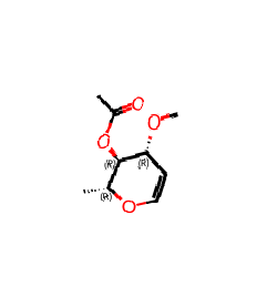 CO[C@@H]1C=CO[C@H](C)[C@H]1OC(C)=O